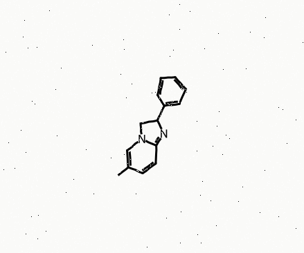 CC1=CN2CC(c3ccccc3)N=C2C=C1